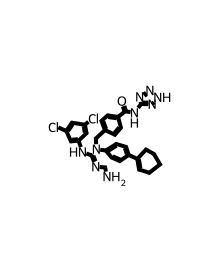 NC/N=C(/Nc1cc(Cl)cc(Cl)c1)N(Cc1ccc(C(=O)Nc2nn[nH]n2)cc1)c1ccc(C2=CCCCC2)cc1